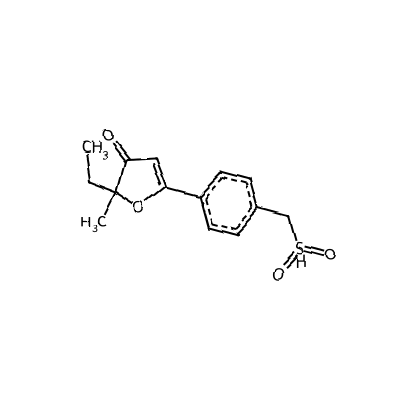 CCC1(C)OC(c2ccc(C[SH](=O)=O)cc2)=CC1=O